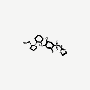 O=S(=O)(Nc1nccs1)c1cc(Cl)c(N[C@H]2CCCC[C@@H]2N2CCC[C@H]2CO)cc1F